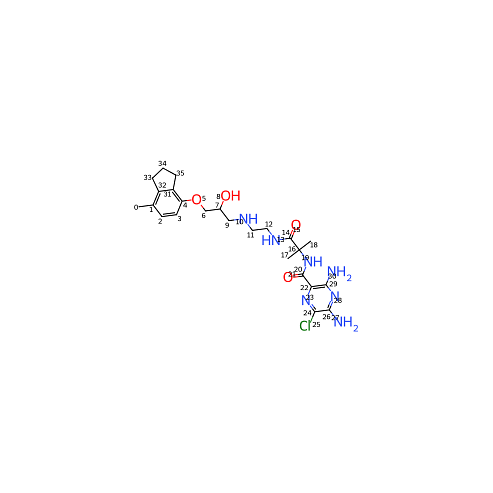 Cc1ccc(OCC(O)CNCCNC(=O)C(C)(C)NC(=O)c2nc(Cl)c(N)nc2N)c2c1CCC2